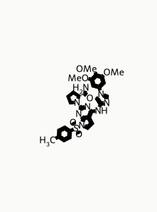 COc1cc(-n2cnc(Nc3nc(N4CCC[C@@H]4C(N)=O)nc4c3ccn4S(=O)(=O)c3ccc(C)cc3)c2)cc(OC)c1OC